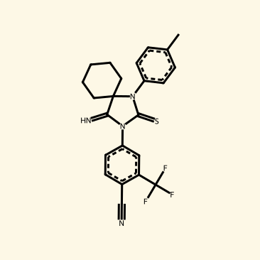 Cc1ccc(N2C(=S)N(c3ccc(C#N)c(C(F)(F)F)c3)C(=N)C23CCCCC3)cc1